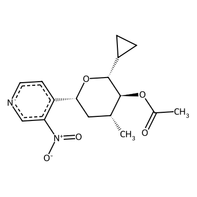 CC(=O)O[C@H]1[C@H](C)C[C@H](c2ccncc2[N+](=O)[O-])O[C@@H]1C1CC1